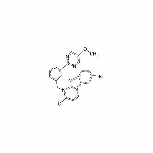 COc1cnc(-c2cccc(Cn3c(=O)ccn4c5cc(Br)ccc5nc34)c2)nc1